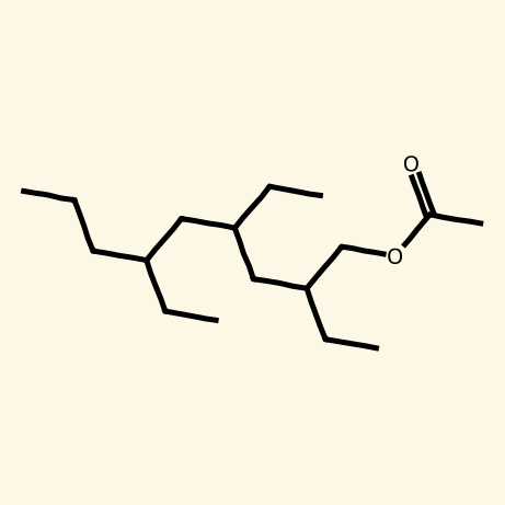 CCCC(CC)CC(CC)CC(CC)COC(C)=O